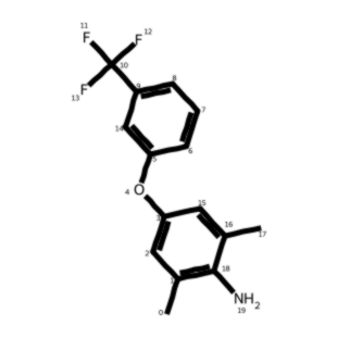 Cc1cc(Oc2cccc(C(F)(F)F)c2)cc(C)c1N